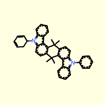 CC1(C)c2ccc3c(c2C(C)(C)c2ccc4c(c21)c1ccccc1n4-c1ccccc1)c1ccccc1n3C1C=CC=CC1